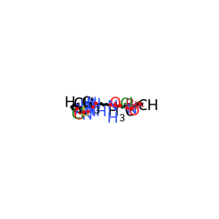 C#CCCC[N+](C)([O-])/C(Br)=C/C(Cl)CCCC(=O)NCCCCCCNc1cc(Nc2ncc(C(=O)Nc3c(C)cccc3Cl)s2)nc(C)n1